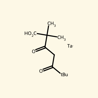 CC(C)(C)C(=O)CC(=O)C(C)(C)C(=O)O.[Ta]